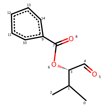 CC(C)[C@@H](C=O)OC(=O)c1ccccc1